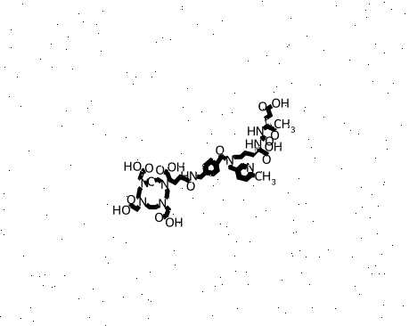 CC(=O)[C@@H](CCC(=O)O)NC(=O)N[C@H](CCCCN(Cc1ccc(C)nc1)C(=O)c1ccc(CNC(=O)CCC(C(=O)O)N2CCN(CC(=O)O)CCN(CC(=O)O)CCN(CC(=O)O)CC2)cc1)C(=O)O